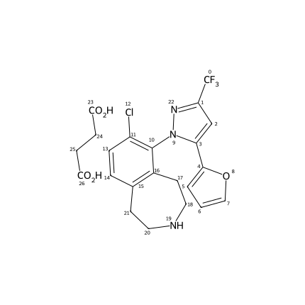 FC(F)(F)c1cc(-c2ccco2)n(-c2c(Cl)ccc3c2CCNCC3)n1.O=C(O)CCC(=O)O